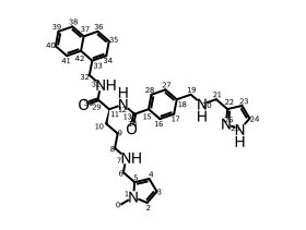 Cn1cccc1CNCCC[C@H](NC(=O)c1ccc(CNCc2cc[nH]n2)cc1)C(=O)NCc1cccc2ccccc12